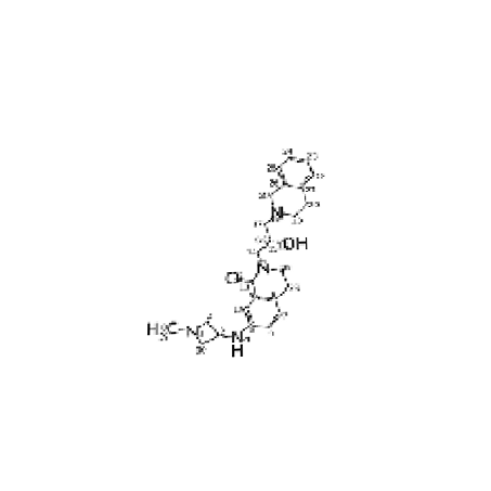 CN1CC(Nc2ccc3c(c2)C(=O)N(C[C@@H](O)CN2CCc4ccccc4C2)CC3)C1